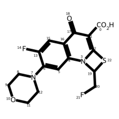 O=C(O)c1c2n(c3cc(N4CCOCC4)c(F)cc3c1=O)C(CF)S2